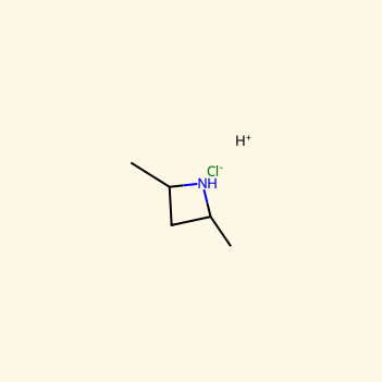 CC1CC(C)N1.[Cl-].[H+]